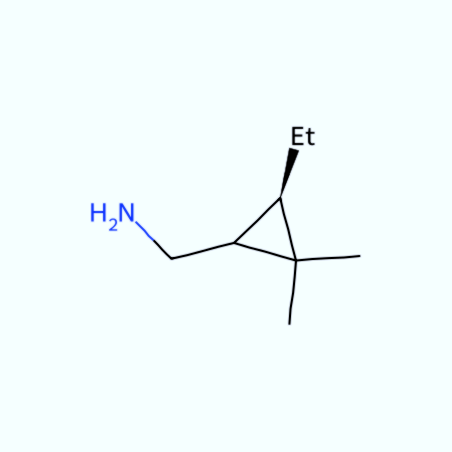 CC[C@@H]1C(CN)C1(C)C